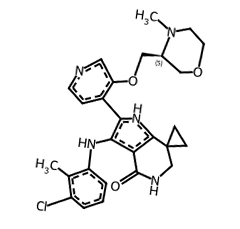 Cc1c(Cl)cccc1Nc1c(-c2ccncc2OC[C@@H]2COCCN2C)[nH]c2c1C(=O)NCC21CC1